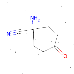 N#CC1(N)CCC(=O)CC1